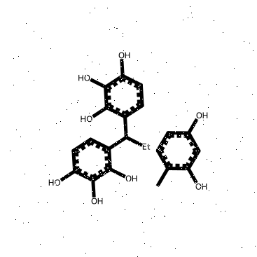 CCC(c1ccc(O)c(O)c1O)c1ccc(O)c(O)c1O.Cc1ccc(O)cc1O